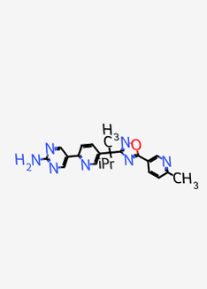 Cc1ccc(-c2nc(C(C)(c3ccc(-c4cnc(N)nc4)nc3)C(C)C)no2)cn1